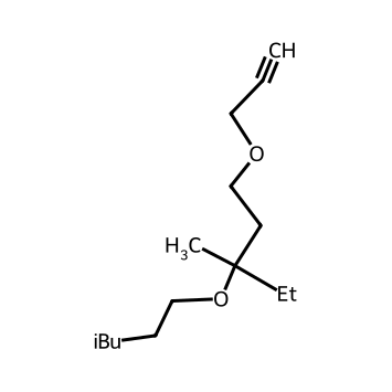 C#CCOCCC(C)(CC)OCCC(C)CC